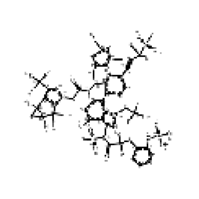 CC(C)(Cc1ccccc1OP(=O)(O)O)C(=O)N(c1nn(CC(F)(F)F)c2c(-c3ccc(C#CC(C)(C)S(C)(=O)=O)nc3[C@H](Cc3cc(F)cc(F)c3)NC(=O)Cn3nc(C(F)(F)F)c4c3C(F)(F)[C@@H]3C[C@H]43)ccc(Cl)c12)S(C)(=O)=O